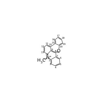 C[n+]1c2ccccc2c2c3c(cccc31)-c1ccccc1O2